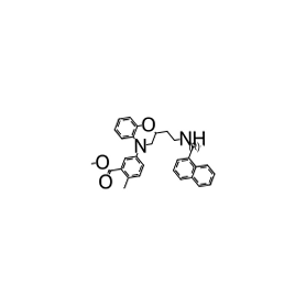 COC(=O)c1cc(N2CC(CCN[C@H](C)c3cccc4ccccc34)Oc3ccccc32)ccc1C